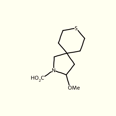 COC1CC2(CCSCC2)CN1C(=O)O